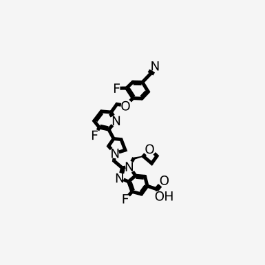 N#Cc1ccc(OCc2ccc(F)c(C3CCN(Cc4nc5c(F)cc(C(=O)O)cc5n4C[C@@H]4CCO4)C3)n2)c(F)c1